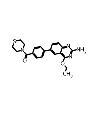 CCOc1nc(N)nc2ccc(-c3ccc(C(=O)N4CCSCC4)cc3)cc12